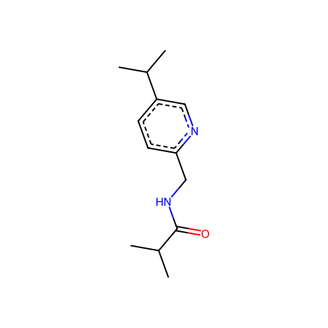 CC(C)C(=O)NCc1ccc(C(C)C)cn1